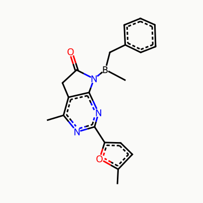 CB(Cc1ccccc1)N1C(=O)Cc2c(C)nc(-c3ccc(C)o3)nc21